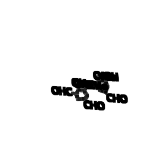 COc1c(O)cc(C=O)cc1C=O.COc1cc(C=O)cc(C=O)c1O